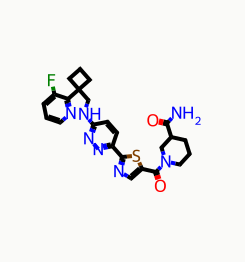 NC(=O)C1CCCN(C(=O)c2cnc(-c3ccc(NCC4(c5ncccc5F)CCC4)nn3)s2)C1